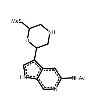 CSC1CNCC(c2c[nH]c3cnc(NC(C)=O)cc23)O1